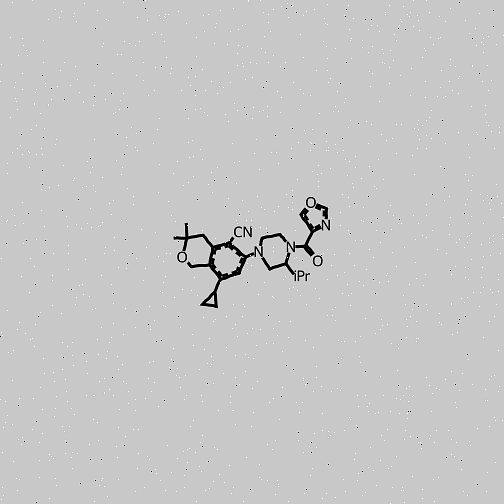 CC(C)C1CN(c2cc(C3CC3)c3c(c2C#N)CC(C)(C)OC3)CCN1C(=O)c1cocn1